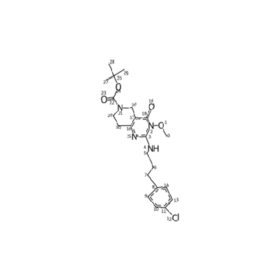 COn1c(NCCCc2ccc(Cl)cc2)nc2c(c1=O)CN(C(=O)OC(C)(C)C)CC2